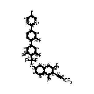 Cc1cnc(-c2ccc(-c3cc(F)c(C(F)(F)Oc4ccc5c(F)c(C#CC(F)(F)F)c(F)cc5c4)c(F)c3)c(F)c2)nc1